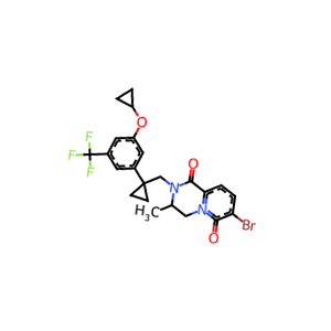 CC1Cn2c(ccc(Br)c2=O)C(=O)N1CC1(c2cc(OC3CC3)cc(C(F)(F)F)c2)CC1